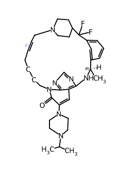 CC(C)N1CCN(c2cc3c4ncnc3n(c2=O)CCCC/C=C/CN2CCC(CC2)C(F)(F)c2cccc(c2)[C@@H](C)N4)CC1